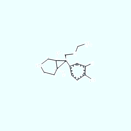 CCOC[C@]1(c2ccc(Cl)c(Cl)c2)[C@@H]2CNCC[C@@H]21